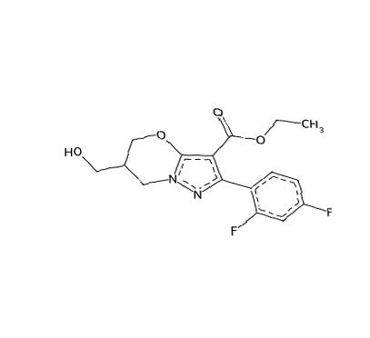 CCOC(=O)c1c(-c2ccc(F)cc2F)nn2c1OCC(CO)C2